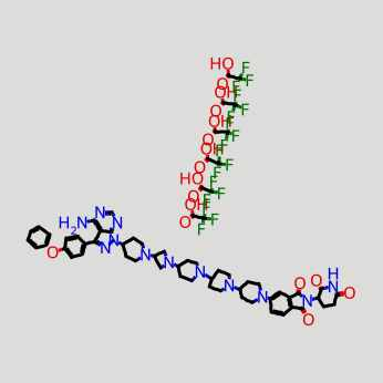 Nc1ncnc2c1c(-c1ccc(Oc3ccccc3)cc1)nn2C1CCN(C2CN(C3CCN(C4CCN(C5CCN(c6ccc7c(c6)C(=O)N(C6CCC(=O)NC6=O)C7=O)CC5)CC4)CC3)C2)CC1.O=C(O)C(F)(F)F.O=C(O)C(F)(F)F.O=C(O)C(F)(F)F.O=C(O)C(F)(F)F.O=C(O)C(F)(F)F.O=C(O)C(F)(F)F